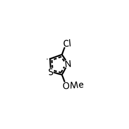 COc1nc(Cl)[c]s1